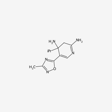 Cc1noc(C2=CN=C(N)CC2(N)C(C)C)n1